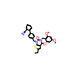 CCc1cc2c(=O)n(Cc3ccc(OC)cc3OC)c(=O)n(Cc3ccc(-c4ccccc4C#N)cc3)c2s1